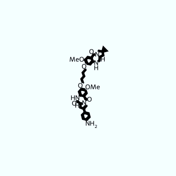 COc1cc2c(cc1OCCCCCOc1cc3c(cc1OC)C(=O)N1CC4(CC4)C[C@H]1CN3)NC(=O)[C@@H]1CC(c3ccc(N)cc3)=CN1C2=O